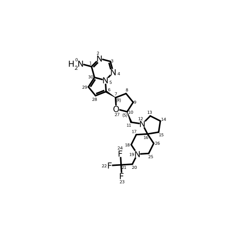 Nc1ncnn2c([C@H]3CC[C@@H](CN4CCCC45CCN(CC(F)(F)F)CC5)O3)ccc12